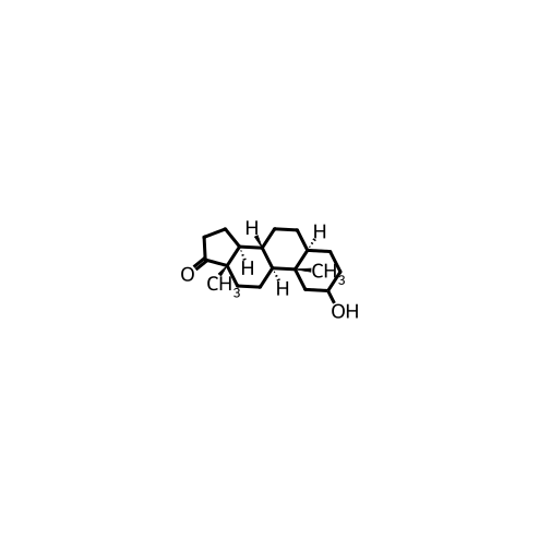 C[C@]12CC(O)CC[C@@H]1CC[C@@H]1[C@@H]2CC[C@]2(C)C(=O)CC[C@@H]12